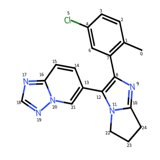 Cc1ccc(Cl)cc1-c1nc2n(c1-c1ccc3ncnn3c1)CCC2